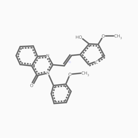 COc1ccccc1-n1c(/C=C/c2cccc(OC)c2O)nc2ccccc2c1=O